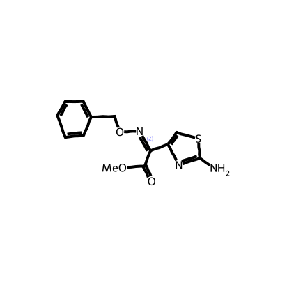 COC(=O)/C(=N\OCc1ccccc1)c1csc(N)n1